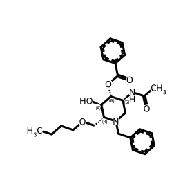 CCCCOC[C@@H]1[C@@H](O)[C@H](OC(=O)c2ccccc2)[C@@H](NC(C)=O)CN1Cc1ccccc1